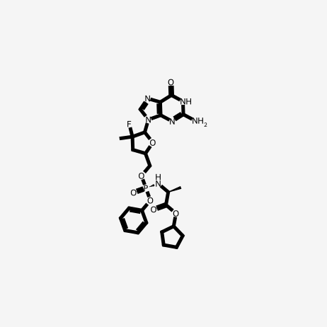 C[C@H](N[P@](=O)(OCC1CC(C)(F)C(n2cnc3c(=O)[nH]c(N)nc32)O1)Oc1ccccc1)C(=O)OC1CCCC1